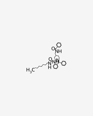 CCCCCCCCNC(=O)NC1CC(CNC(=O)c2ccccc2)CCN1C(c1ccccc1)c1ccccc1